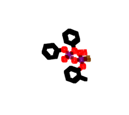 Cc1ccccc1OP(O)(=S)OP(=O)(Oc1ccccc1)Oc1ccccc1